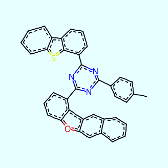 Cc1ccc(-c2nc(-c3cccc4c3sc3ccccc34)nc(-c3cccc4oc5cc6ccccc6cc5c34)n2)cc1